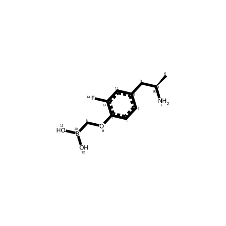 C[C@@H](N)Cc1ccc(OCB(O)O)c(F)c1